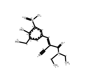 CCN(CC)C(=O)/C(C#N)=C/c1cc(CO)c(O)c([N+](=O)[O-])c1